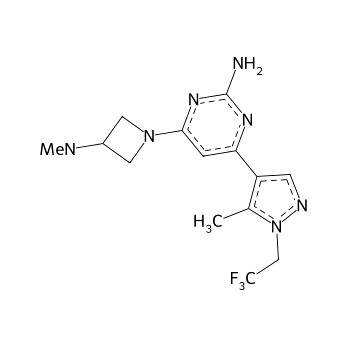 CNC1CN(c2cc(-c3cnn(CC(F)(F)F)c3C)nc(N)n2)C1